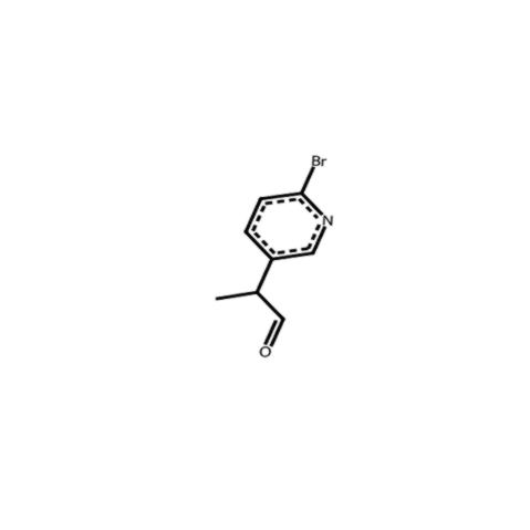 CC(C=O)c1ccc(Br)nc1